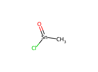 [CH3][Sn](=[O])[Cl]